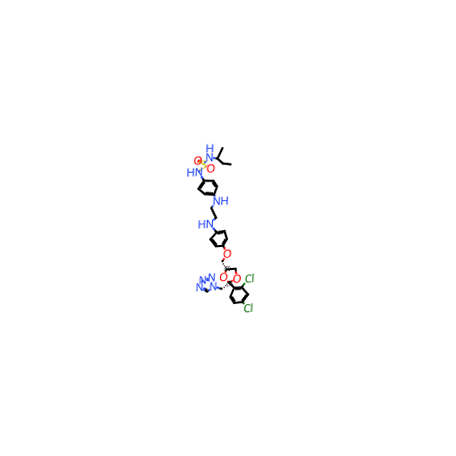 CCC(C)NS(=O)(=O)Nc1ccc(NCCNc2ccc(OC[C@@H]3CO[C@@](Cn4cnnn4)(c4ccc(Cl)cc4Cl)O3)cc2)cc1